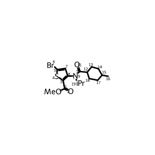 COC(=O)c1sc(Br)cc1N(C(=O)C1CCC(C)CC1)C(C)C